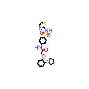 O=C(COc1ccccc1N1CCCC1)Nc1ccc(S(=O)(=O)Nc2nccs2)cc1